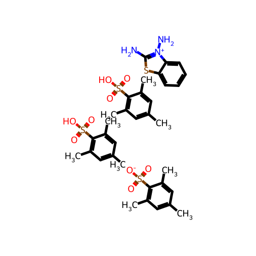 Cc1cc(C)c(S(=O)(=O)O)c(C)c1.Cc1cc(C)c(S(=O)(=O)O)c(C)c1.Cc1cc(C)c(S(=O)(=O)[O-])c(C)c1.Nc1sc2ccccc2[n+]1N